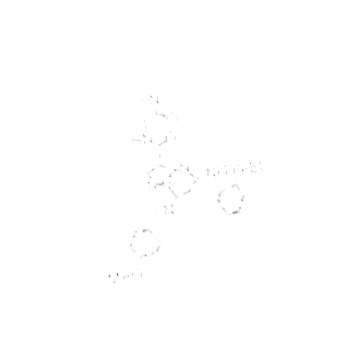 CCOc1ccccc1Nc1cc(N(C)Cc2ccc(OC)cc2)n2ncc(C(=O)NC3CCN(C)C3=O)c2n1